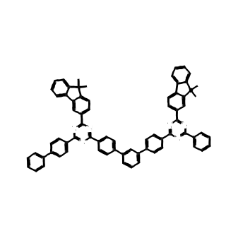 CC1(C)c2ccccc2-c2cc(-c3nc(-c4ccc(-c5ccccc5)cc4)nc(-c4ccc(-c5cccc(-c6ccc(-c7nc(-c8ccccc8)nc(-c8ccc9c(c8)C(C)(C)c8ccccc8-9)n7)cc6)c5)cc4)n3)ccc21